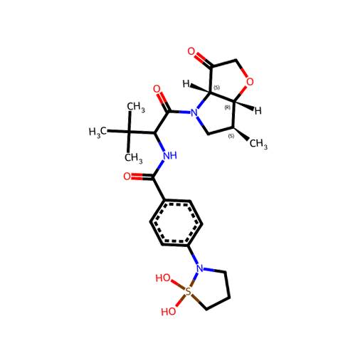 C[C@H]1CN(C(=O)C(NC(=O)c2ccc(N3CCCS3(O)O)cc2)C(C)(C)C)[C@@H]2C(=O)CO[C@@H]21